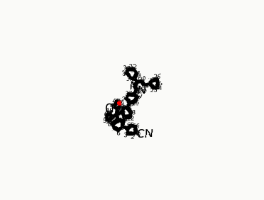 N#Cc1ccc(-c2cccc3c2-c2ccc(-c4ccc(-c5nc(-c6ccccc6)cc(-c6ccccc6)n5)cc4)cc2C32c3ccccc3Oc3ccccc32)cc1